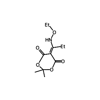 CCONC(CC)=C1C(=O)OC(C)(C)OC1=O